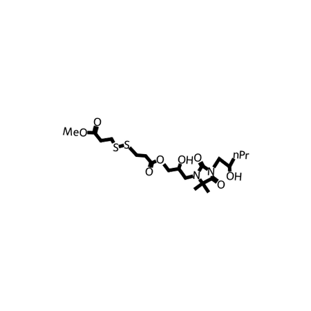 CCCC(O)CN1C(=O)N(CC(O)COC(=O)CCSSCCC(=O)OC)C(C)(C)C1=O